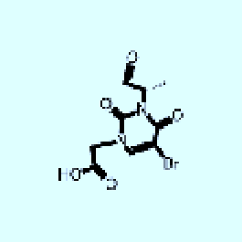 C[C@@H](C=O)n1c(=O)c(Br)cn(CC(=O)O)c1=O